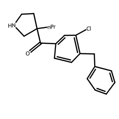 CCCC1(C(=O)c2ccc(Cc3ccccc3)c(Cl)c2)CCNC1